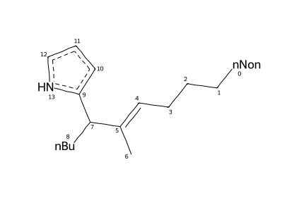 CCCCCCCCCCCCC=C(C)C(CCCC)c1ccc[nH]1